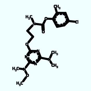 CON(C)c1nc(OCCN(C)C(=O)Oc2ccc(Cl)cc2C)nc(N(C)C)n1